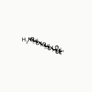 CC(C)(C)OC(=O)CCOCCOCCOCCON